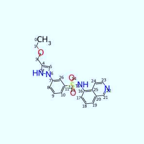 CCOCc1cn(-c2cccc(S(=O)(=O)Nc3cccc4cnccc34)c2)[nH]1